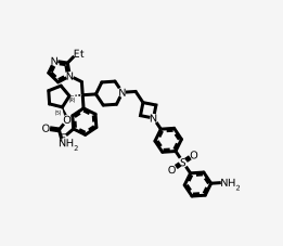 CCc1nccn1CC(c1cccc(F)c1)(C1CCN(CC2CN(c3ccc(S(=O)(=O)c4cccc(N)c4)cc3)C2)CC1)[C@H]1CCC[C@@H]1OC(N)=O